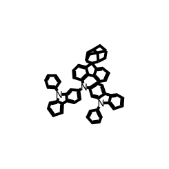 c1ccc(-n2c3ccccc3c3ccc(N(c4ccc5c6ccccc6n(-c6ccccc6)c5c4)c4cccc5c4-c4ccccc4C54C5CC6CC(C5)CC4C6)cc32)cc1